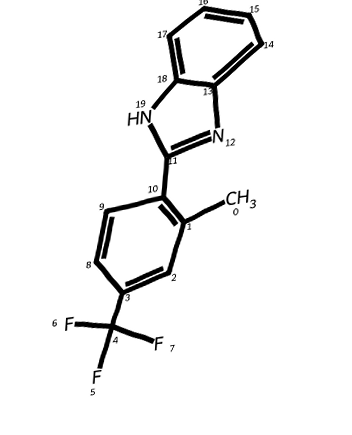 Cc1cc(C(F)(F)F)ccc1-c1nc2ccccc2[nH]1